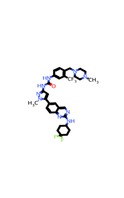 CN1CCN(Cc2ccc(NC(=O)Nc3cc(-c4ccc5nc(NC6CCC(F)(F)CC6)ncc5c4)n(C)n3)cc2C(F)(F)F)CC1